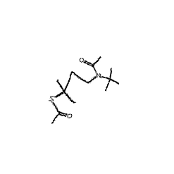 CC(=O)SC(C)(C)CCN(C(C)=O)C(C)(C)C